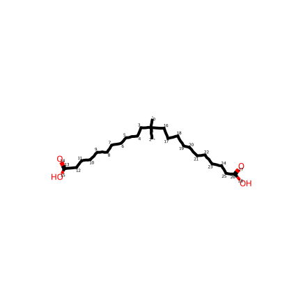 [CH2]C([CH2])(CCCCCCCCCCC(=O)O)CCCCCCCCCCC(=O)O